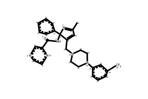 CC1=NC(NC(=O)c2cnccn2)(c2ccccc2)C(CN2CCN(c3cccc(C(F)(F)F)c3)CC2)=C1